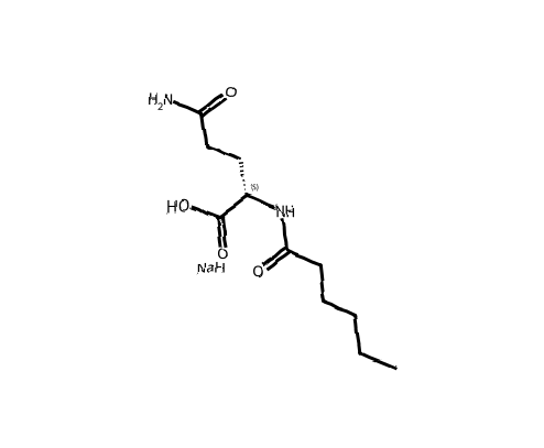 CCCCCC(=O)N[C@@H](CCC(N)=O)C(=O)O.[NaH]